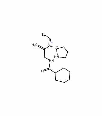 C=C(CNC(=O)C1CCCCC1)/C(=C\CC)[C@@H]1CCCN1